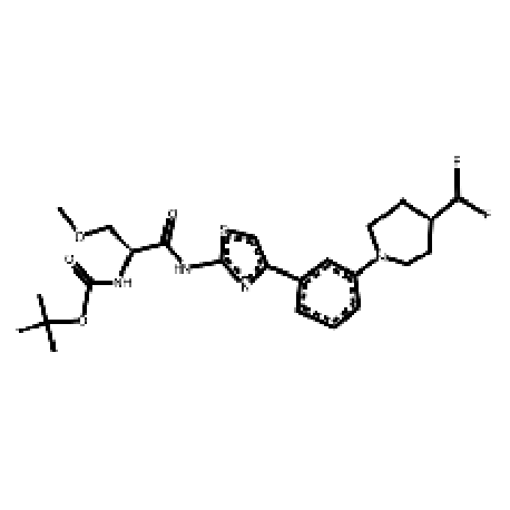 COC[C@H](NC(=O)OC(C)(C)C)C(=O)Nc1nc(-c2cccc(N3CCC(C(F)F)CC3)c2)cs1